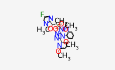 COc1cccc(-c2nnc(NS(=O)(=O)[C@H](C)[C@@H](OC)c3ncc(F)cn3)n2-c2c(OC)cccc2OC)n1